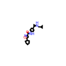 O=C(Nc1ccc(C2CC2NCC2CC2)cc1)c1cc(-c2ccccc2)on1